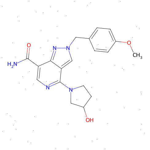 COc1ccc(Cn2cc3c(N4CCC(O)C4)ncc(C(N)=O)c3n2)cc1